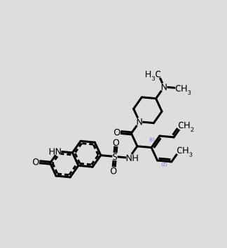 C=C/C=C(\C=C/C)C(NS(=O)(=O)c1ccc2[nH]c(=O)ccc2c1)C(=O)N1CCC(N(C)C)CC1